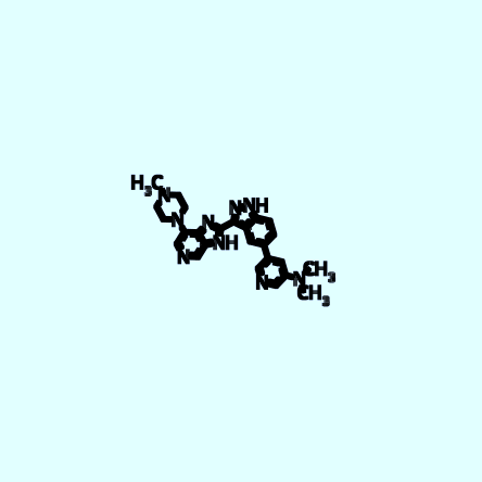 CN1CCN(c2cncc3[nH]c(-c4n[nH]c5ccc(-c6cncc(N(C)C)c6)cc45)nc23)CC1